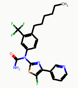 CCCCCCc1ccc(N(C(N)=O)c2nc(-c3cccnc3)c(F)s2)cc1C(F)(F)F